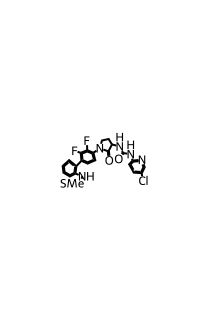 CSNc1ccccc1-c1ccc(N2CCC(NC(=O)Nc3ccc(Cl)cn3)C2=O)c(F)c1F